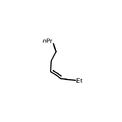 [CH2]C/C=C\CCCC